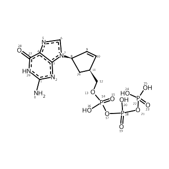 Nc1nc2c(ncn2[C@H]2C=C[C@@H](COP(=O)(O)OP(=O)(O)OP(=O)(O)O)C2)c(=O)[nH]1